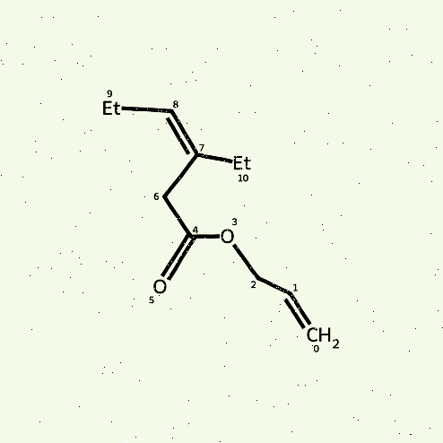 C=CCOC(=O)CC(=CCC)CC